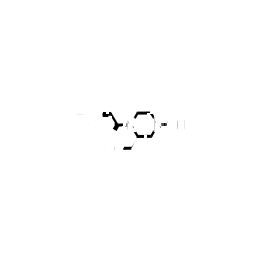 C=CC(=O)N1CCN(C)C[C@H]1CC